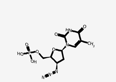 Cc1cn([C@H]2C[C@@H](N=[N+]=[N-])[C@@H](COP(=O)(O)O)O2)c(=O)[nH]c1=O